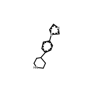 c1cn(-c2ccc(C3CCNCC3)cc2)cn1